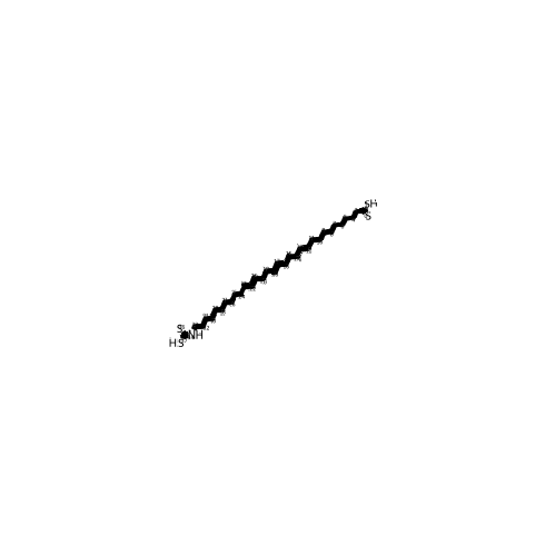 S=C(S)CCCCCCCCCCCCCCCCCCCCCCCCCCCCCCCNC(=S)S